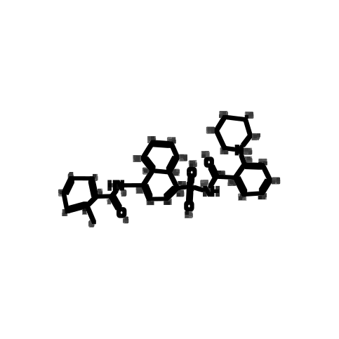 Cc1ccccc1C(=O)Nc1ccc(S(=O)(=O)NC(=O)c2ccccc2N2CCCCC2)c2ccccc12